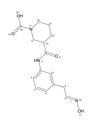 O=C(Nc1cccc(C/C=N/O)c1)C1CCCN(C(=O)O)C1